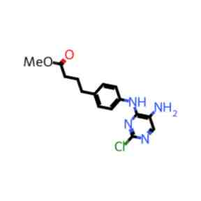 COC(=O)CCCc1ccc(Nc2nc(Cl)ncc2N)cc1